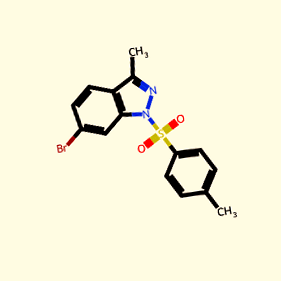 Cc1ccc(S(=O)(=O)n2nc(C)c3ccc(Br)cc32)cc1